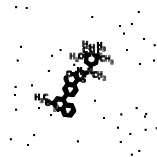 COc1cc(-c2ccc3c(c2)COc2nc(N(C)C4CC(C)(C)NC(C)(C)C4)sc2-3)c2ccccc2n1